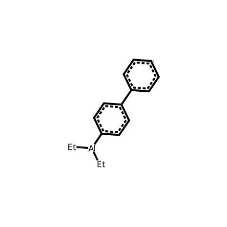 C[CH2][Al]([CH2]C)[c]1ccc(-c2cc[c]cc2)cc1